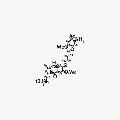 C=C1C[C@@H](CO[Si](C)(C)C(C)(C)C)N(C(=O)c2cc(OC)c(OCCCCCOc3cc(N)c(C(C)=O)cc3OC)cc2N)C1